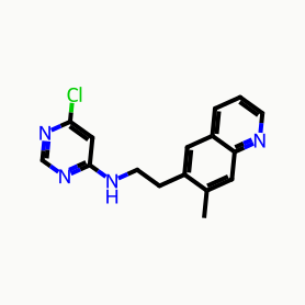 Cc1cc2ncccc2cc1CCNc1cc(Cl)ncn1